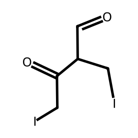 O=CC(CI)C(=O)CI